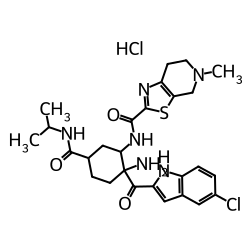 CC(C)NC(=O)C1CCC(N)(C(=O)c2cc3cc(Cl)ccc3[nH]2)C(NC(=O)c2nc3c(s2)CN(C)CC3)C1.Cl